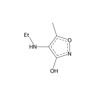 CCNc1c(O)noc1C